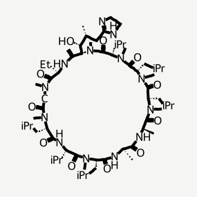 C=C1N[C@@H](CC)C(=O)N(C)CC(=O)N(C)[C@@H](CC(C)C)C(=O)N[C@@H](C(C)C)C(=O)N(C)[C@@H](CC(C)C)C(=O)N[C@@H](C)C(=O)N[C@H](C)C(=O)N(C)[C@@H](CC(C)C)C(=O)N(C)[C@@H](CC(C)C)C(=O)N(C)[C@@H](C(C)C)C(=O)N(C)[C@H]1[C@H](O)[C@H](C)CC1=NCCN1